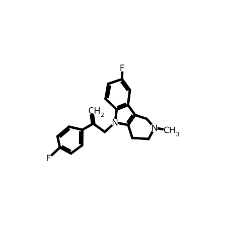 C=C(Cn1c2c(c3cc(F)ccc31)CN(C)CC2)c1ccc(F)cc1